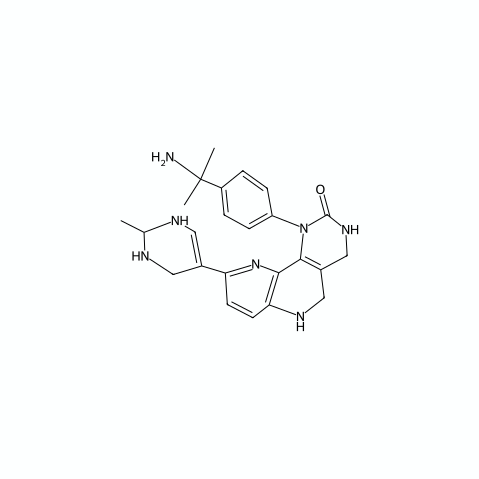 CC1NC=C(c2ccc3c(n2)C2=C(CNC(=O)N2c2ccc(C(C)(C)N)cc2)CN3)CN1